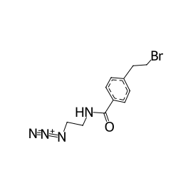 [N-]=[N+]=NCCNC(=O)c1ccc(CCBr)cc1